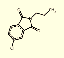 CCCN1C(=O)c2ccc(Cl)cc2C1=O